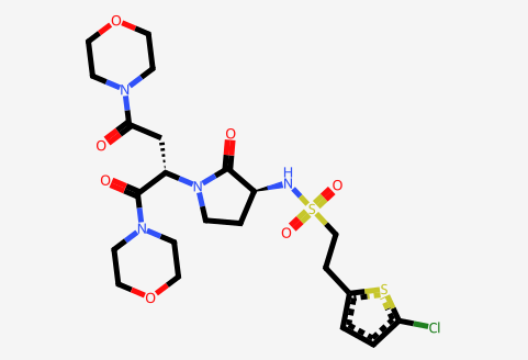 O=C(C[C@@H](C(=O)N1CCOCC1)N1CC[C@H](NS(=O)(=O)CCc2ccc(Cl)s2)C1=O)N1CCOCC1